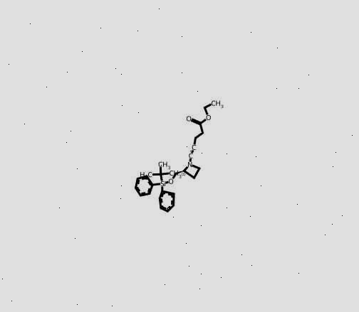 CCOC(=O)CCCCN1CC[C@H]1CO[Si](c1ccccc1)(c1ccccc1)C(C)(C)C